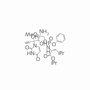 C#C[C@@](O)([C@H](O)[C@@](N)(COP(=O)(N[C@@H](CC(C)C)C(=O)OC(C)C)Oc1ccccc1)OC)n1ccc(=O)[nH]c1=O